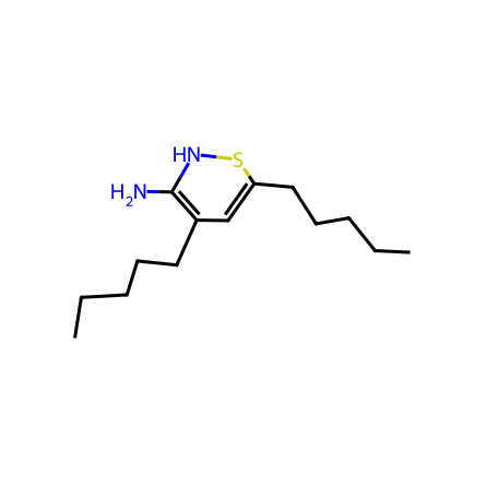 CCCCCC1=CC(CCCCC)=C(N)NS1